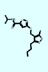 CCCCc1noc(C)c1COc1cc(C(=O)NC(C)C)on1